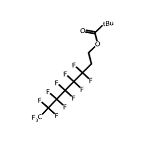 CC(C)(C)C(=O)OCCC(F)(F)C(F)(F)C(F)(F)C(F)(F)C(F)(F)C(F)(F)F